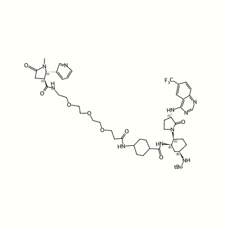 CN1C(=O)C[C@H](C(=O)NCCOCCOCCOCCC(=O)NC2CCC(C(=O)N[C@@H]3C[C@H](NC(C)(C)C)CC[C@@H]3N3CC[C@H](Nc4ncnc5ccc(C(F)(F)F)cc45)C3=O)CC2)[C@H]1c1cccnc1